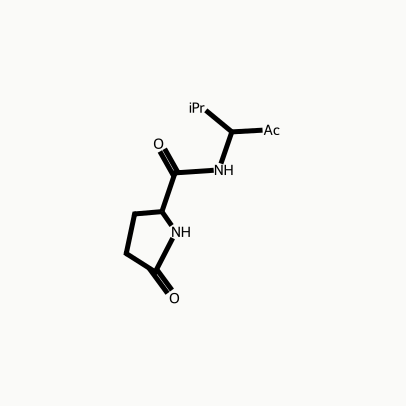 CC(=O)C(NC(=O)C1CCC(=O)N1)C(C)C